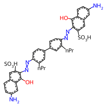 CCCc1cc(-c2ccc(/N=N/c3c(S(=O)(=O)O)cc4ccc(N)cc4c3O)c(CCC)c2)ccc1/N=N/c1c(S(=O)(=O)O)cc2cc(N)ccc2c1O